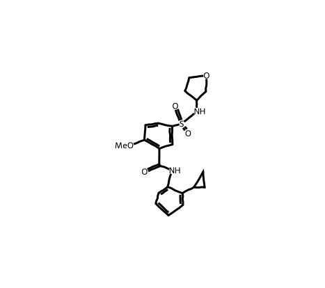 COc1ccc(S(=O)(=O)NC2CCOC2)cc1C(=O)Nc1ccccc1C1CC1